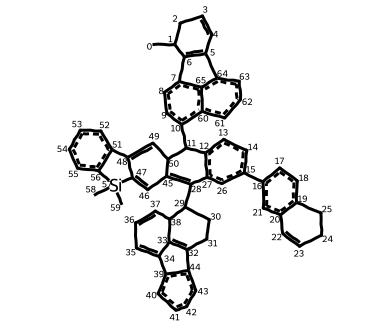 CC1CC=CC2=C1c1ccc(C3c4ccc(-c5ccc6c(c5)C=CCC6)cc4C(C4CCC5=C6C(=CC=CC64)c4ccccc45)=C4C=C5C(=CC43)c3ccccc3[Si]5(C)C)c3cccc2c13